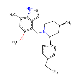 CCc1ccc([C@@H]2C[C@H](C)CCN2Cc2c(OC)cc(C)c3[nH]ccc23)cc1